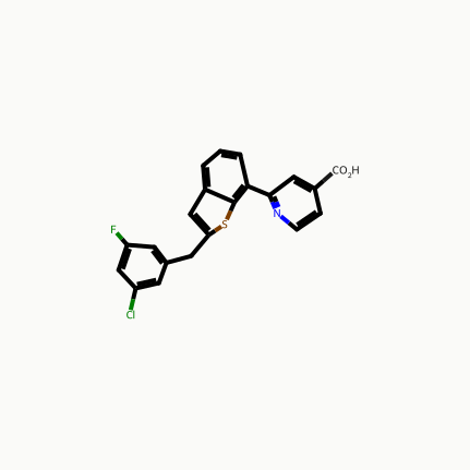 O=C(O)c1ccnc(-c2cccc3cc(Cc4cc(F)cc(Cl)c4)sc23)c1